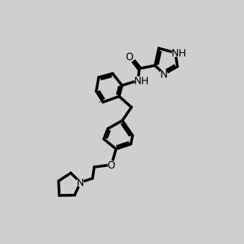 O=C(Nc1ccc[c]c1Cc1ccc(OCCN2CCCC2)cc1)c1c[nH]cn1